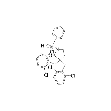 C[C@H](c1ccccc1)N1CCC(Cc2c(Cl)cccc2Cl)(Cc2c(Cl)cccc2Cl)C1=O